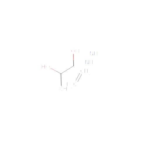 C=C.CC(O)CO.N.N